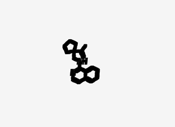 C=C(C)C1(CNc2nccc3ccccc23)CCCC1